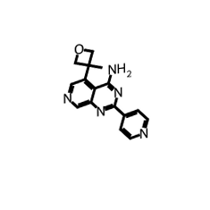 CC1(c2cncc3nc(-c4ccncc4)nc(N)c23)COC1